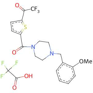 COc1ccccc1CN1CCN(C(=O)c2ccc(C(=O)C(F)(F)F)s2)CC1.O=C(O)C(F)(F)F